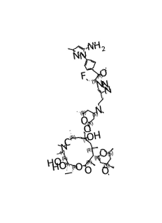 CC[C@H]1OC(=O)[C@H](C)C([C@H]2C[C@@](C)(OC)C[C@H](C)O2)[C@H](C)C[C@@](O)(CO[C@H]2C[C@@H](N(C)CCc3cn([C@H](CF)[C@H](OC)c4ccc(-n5nc(C)cc5N)cc4)nn3)C[C@@H](C)O2)C[C@@H](C)CN(C)[C@H](C)[C@@H](O)[C@]1(C)O